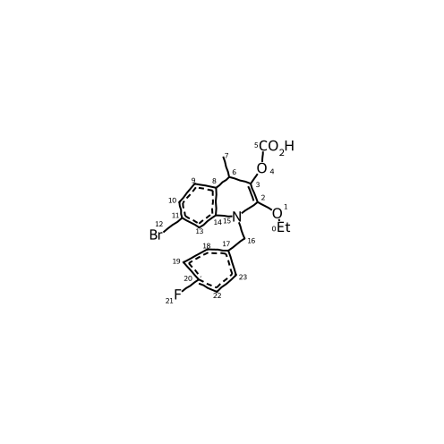 CCOC1=C(OC(=O)O)C(C)c2ccc(Br)cc2N1Cc1ccc(F)cc1